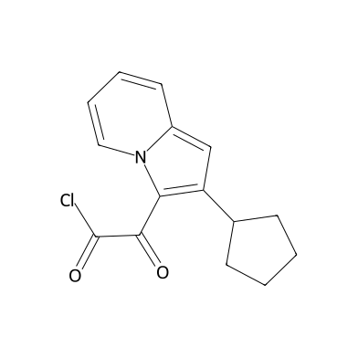 O=C(Cl)C(=O)c1c(C2CCCC2)cc2ccccn12